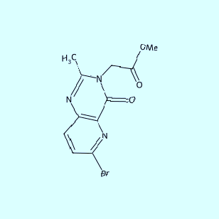 COC(=O)Cn1c(C)nc2ccc(Br)nc2c1=O